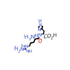 N=C(N)NCCC[C@H](N)C(=O)N[C@@H](Cc1c[nH]cn1)C(=O)O